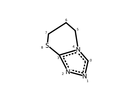 c1nnc2n1CCCS2